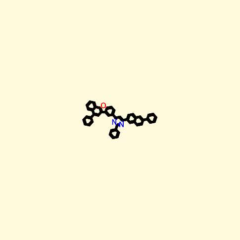 c1ccc(-c2ccc3cc(-c4cc(-c5ccc6oc7c8ccccc8c(-c8ccccc8)cc7c6c5)nc(-c5ccccc5)n4)ccc3c2)cc1